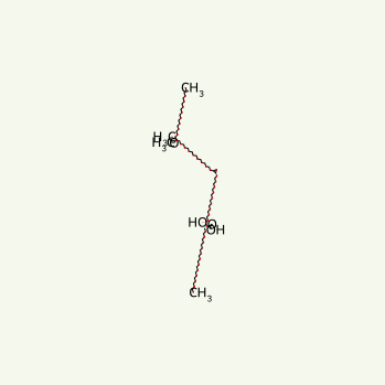 CCCCCCCCCCCCCCCCCCCCCCCC[C@@H](C(=O)O)[C@H](O)CCCCCCCCCCCCCCCCC[C@@H]1CC1CCCCCCCCCCCCCCCC[C@@H](OC)[C@H](C)CCCCCCCCCCCCCCCCCC